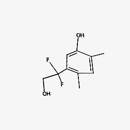 Cc1cc(C)c(C(F)(F)CO)cc1O